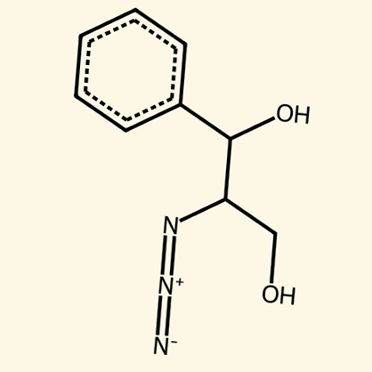 [N-]=[N+]=NC(CO)C(O)c1ccccc1